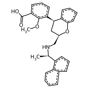 COc1c(C(=O)O)cccc1[C@@H]1C[C@H](CN[C@H](C)c2cccc3ccccc23)Oc2ccccc21